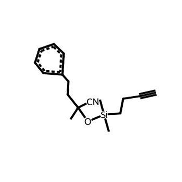 C#CCC[Si](C)(C)OC(C)(C#N)CCc1ccccc1